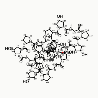 CSCC[C@H](NC(=O)[C@@H]1CCCN1C(=O)CNC(=O)[C@@H]1C[C@@H](O)CN1C(=O)[C@@H]1CCCN1C(=O)CNC(=O)[C@@H]1C[C@@H](O)CN1C(=O)[C@@H]1CCCN1C(=O)CNC(=O)[C@@H]1C[C@@H](O)CN1C(=O)[C@@H]1CCCN1C(=O)CNC(=O)[C@@H]1C[C@@H](O)CN1C(=O)[C@@H]1CCCN1)C(=O)NCC(=O)N1CCC[C@H]1C(=O)N1C[C@H](O)C[C@H]1C(=O)NCC(=O)N1CCC[C@H]1C(=O)N1C[C@H](O)C[C@H]1C(=O)NCC(=O)O